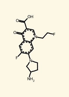 NC1CCN(c2cc3c(cc2F)c(=O)c(C(=O)O)cn3CCF)C1